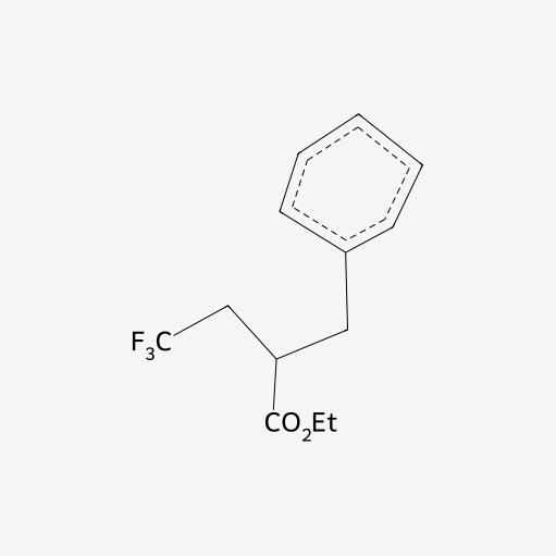 CCOC(=O)C(Cc1ccccc1)CC(F)(F)F